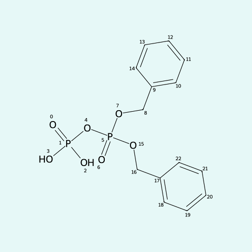 O=P(O)(O)OP(=O)(OCc1ccccc1)OCc1ccccc1